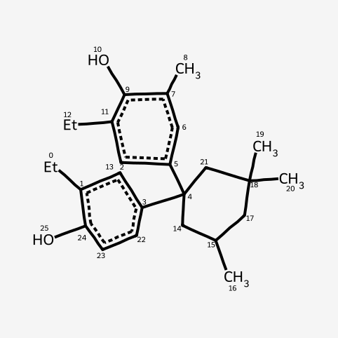 CCc1cc(C2(c3cc(C)c(O)c(CC)c3)CC(C)CC(C)(C)C2)ccc1O